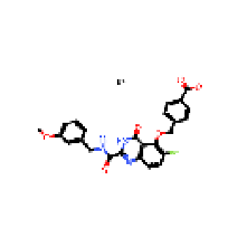 COc1cccc(CNC(=O)c2nc3ccc(F)c(OCc4ccc(C(=O)[O-])cc4)c3c(=O)[nH]2)c1.[K+]